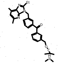 CCc1nc2c(C)cc(C)nc2n1Cc1cccc(C(=O)c2cccc(COCC(C)(C)[SiH](C)C)c2)c1